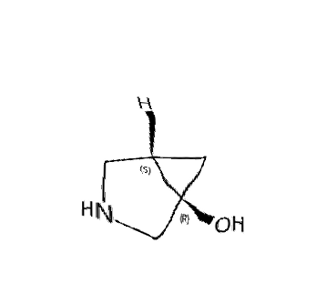 O[C@@]12CNC[C@@H]1C2